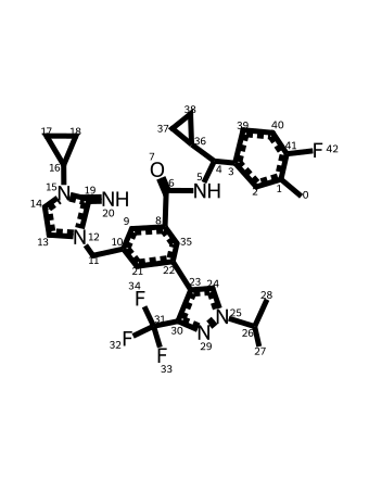 Cc1cc(C(NC(=O)c2cc(Cn3ccn(C4CC4)c3=N)cc(-c3cn(C(C)C)nc3C(F)(F)F)c2)C2CC2)ccc1F